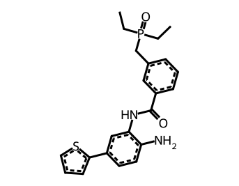 CCP(=O)(CC)Cc1cccc(C(=O)Nc2cc(-c3cccs3)ccc2N)c1